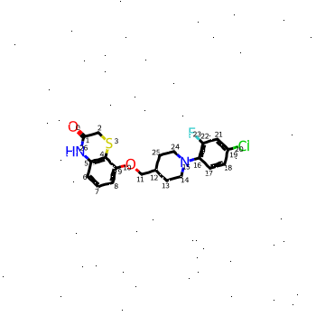 O=C1CSc2c(cccc2OCC2CCN(c3ccc(Cl)cc3F)CC2)N1